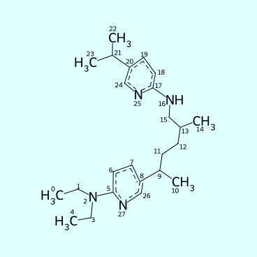 CCN(CC)c1ccc(C(C)CCC(C)CNc2ccc(C(C)C)cn2)cn1